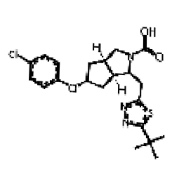 CC(C)(C)c1nnc(CC2[C@H]3C[C@@H](Oc4ccc(Cl)cc4)C[C@H]3CN2C(=O)O)s1